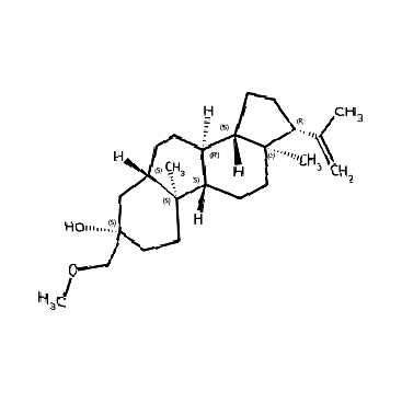 C=C(C)[C@H]1CC[C@H]2[C@@H]3CC[C@H]4C[C@](O)(COC)CC[C@]4(C)[C@H]3CC[C@]12C